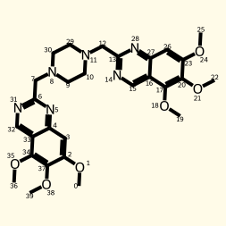 COc1cc2nc(CN3CCN(Cc4ncc5c(OC)c(OC)c(OC)cc5n4)CC3)ncc2c(OC)c1OC